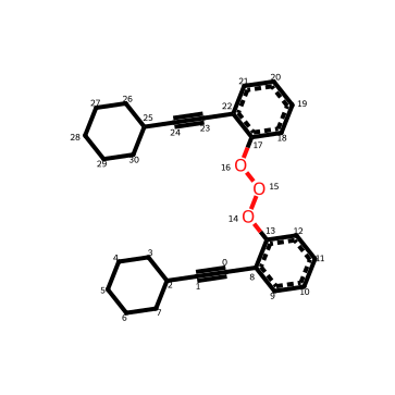 C(#CC1CCCCC1)c1ccccc1OOOc1ccccc1C#CC1CCCCC1